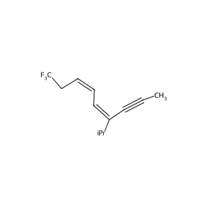 CC#C/C(=C\C=C/CC(F)(F)F)C(C)C